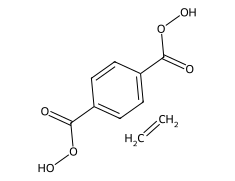 C=C.O=C(OO)c1ccc(C(=O)OO)cc1